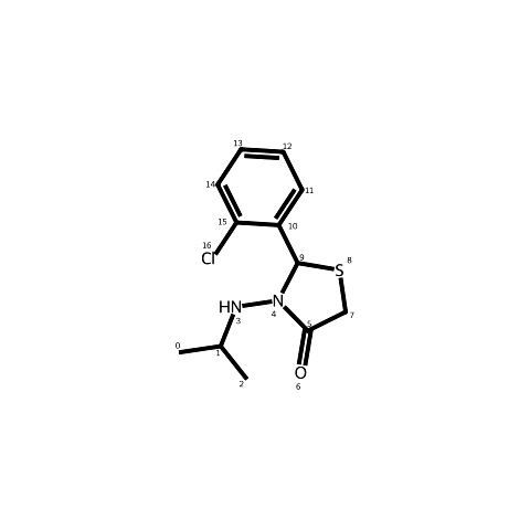 CC(C)NN1C(=O)CSC1c1ccccc1Cl